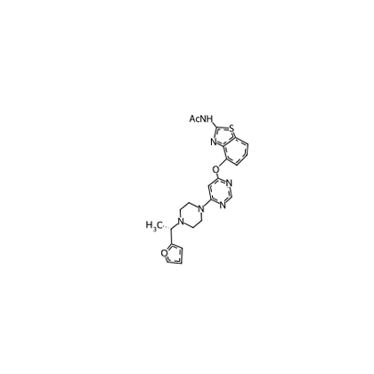 CC(=O)Nc1nc2c(Oc3cc(N4CCN([C@@H](C)c5ccco5)CC4)ncn3)cccc2s1